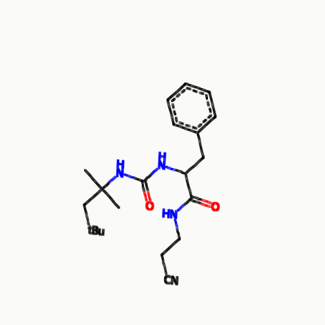 CC(C)(C)CC(C)(C)NC(=O)NC(Cc1ccccc1)C(=O)NCCC#N